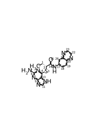 CC[C@@H](Sc1nc(N)nc2nc[nH]c12)C(=O)Nc1ccc2nccnc2c1